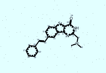 CN(C)Cc1nc2c(sc3ccc(C=Cc4ccccc4)cc32)c(=O)[nH]1